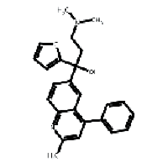 Cc1cc(-c2ccccc2)c2cc(C(O)(CCN(C)C)c3ccco3)ccc2n1